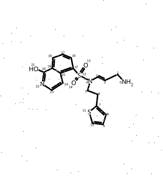 NCC=CN(CCc1cccs1)S(=O)(=O)c1cccc2c(O)nccc12